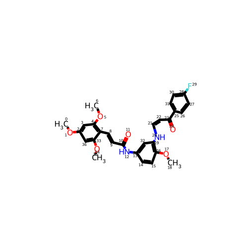 COc1cc(OC)c(/C=C/C(=O)Nc2ccc(OC)c(N/C=C\C(=O)c3ccc(F)cc3)c2)c(OC)c1